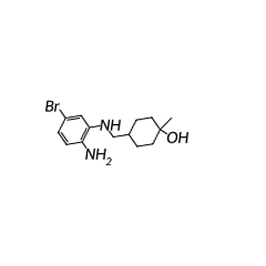 CC1(O)CCC(CNc2cc(Br)ccc2N)CC1